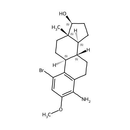 COc1cc(Br)c2c(c1N)CC[C@@H]1[C@@H]2CC[C@]2(C)[C@@H](O)CC[C@@H]12